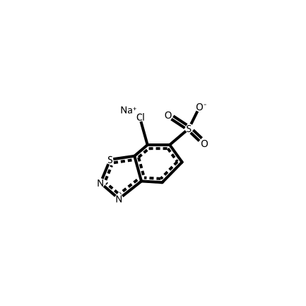 O=S(=O)([O-])c1ccc2nnsc2c1Cl.[Na+]